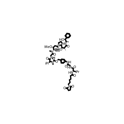 CC[C@H](C)[C@@H]([C@@H](CC(=O)N1CCC[C@H]1[C@H](OC)[C@@H](C)C(=O)N[C@H](C)[C@@H](O)c1ccccc1)OC)N(C)C(=O)CNC(=O)C(C(C)C)N(C)C(=O)OCc1ccc(NC(=O)CNC(=O)C(NC(=O)CCCCCN2C(=O)CCC2=O)C(C)C)cc1